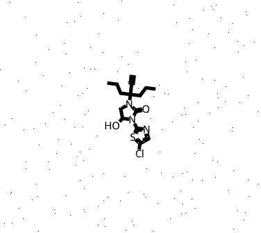 C#CC(CCC)(CCC)N1CC(O)N(c2ncc(Cl)s2)C1=O